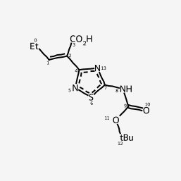 CCC=C(C(=O)O)c1nsc(NC(=O)OC(C)(C)C)n1